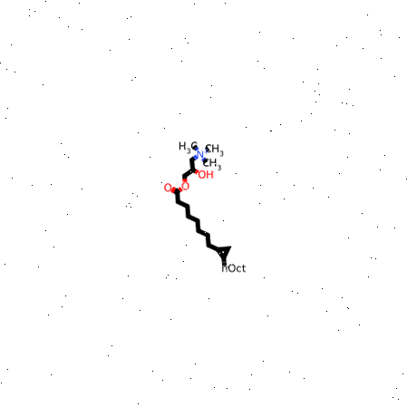 CCCCCCCCC1CC1CCCCCCCC(=O)OCC(O)C[N+](C)(C)C